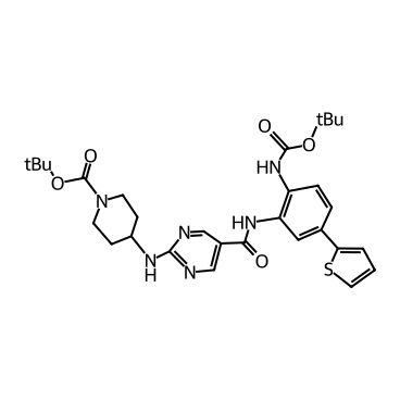 CC(C)(C)OC(=O)Nc1ccc(-c2cccs2)cc1NC(=O)c1cnc(NC2CCN(C(=O)OC(C)(C)C)CC2)nc1